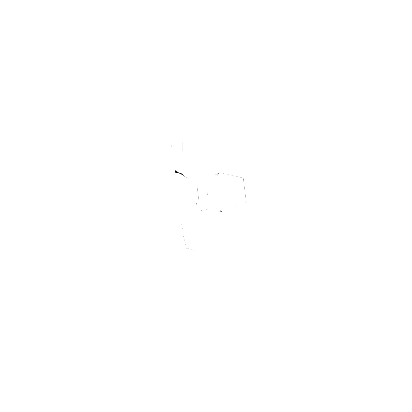 OC[C@H]1C2CCC(C2)N1CC(F)F